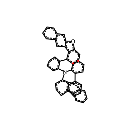 c1ccc(-c2ccccc2N(c2ccccc2-c2cccc3oc4cc5ccccc5cc4c23)c2cccc3c2sc2ccccc23)cc1